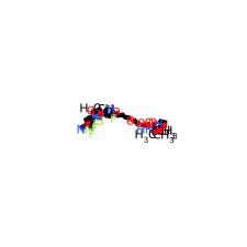 CC1CCCN1C(=O)C(NC(=O)COCCOCCCCOc1ncc(N2C(=S)N(c3ccc(C#N)c(C(F)(F)F)c3F)C(=O)C2(C)C)cc1F)C(C)(C)C